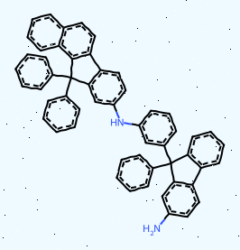 Nc1ccc2c(c1)C(c1ccccc1)(c1cccc(Nc3ccc4c(c3)C(c3ccccc3)(c3ccccc3)c3c-4ccc4ccccc34)c1)c1ccccc1-2